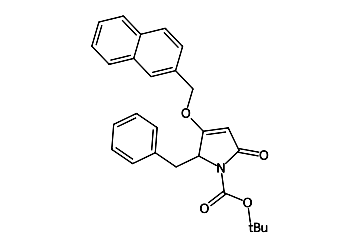 CC(C)(C)OC(=O)N1C(=O)C=C(OCc2ccc3ccccc3c2)C1Cc1ccccc1